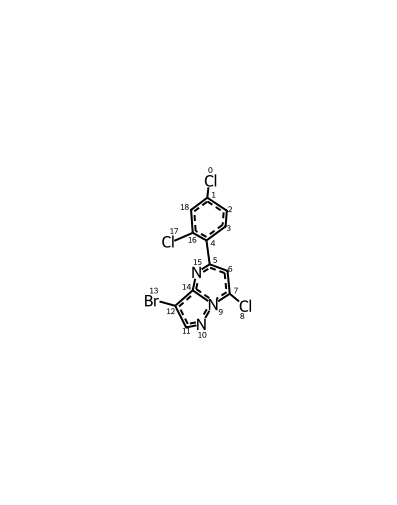 Clc1ccc(-c2cc(Cl)n3ncc(Br)c3n2)c(Cl)c1